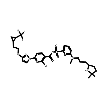 CN(CCCC1CCC(C)(C)N1)c1cccc(S(=O)(=O)NC(=O)c2ccc(-n3ccc(OCCC4CC4C(F)(F)F)n3)nc2Cl)n1